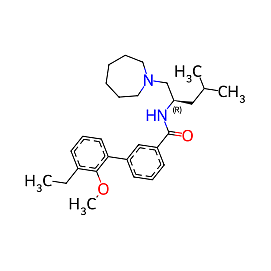 CCc1cccc(-c2cccc(C(=O)N[C@H](CC(C)C)CN3CCCCCC3)c2)c1OC